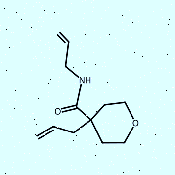 C=CCNC(=O)C1(CC=C)CCOCC1